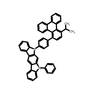 CC(C)c1ccc(-c2ccc(-n3c4ccccc4c4cc5c6ccccc6n(-c6ccccc6)c5cc43)cc2)c2c3ccccc3c3ccccc3c12